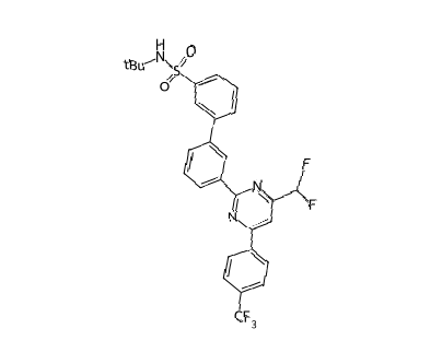 CC(C)(C)NS(=O)(=O)c1cccc(-c2cccc(-c3nc(-c4ccc(C(F)(F)F)cc4)cc(C(F)F)n3)c2)c1